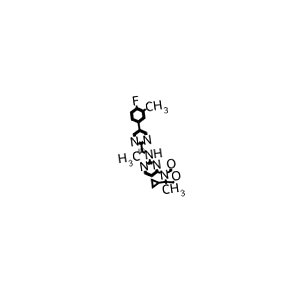 Cc1cc(-c2cnc([C@@H](C)Nc3nccc(N4C(=O)OCC4(C)C4CC4)n3)nc2)ccc1F